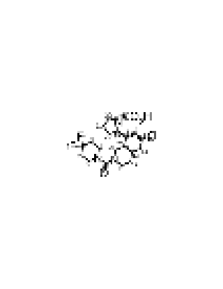 O=C(N1CCC(F)(F)CC1)N1CCc2cc(Cl)cc(C3CCCN3C(=O)O)c2C1